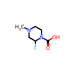 CN1CCN(C(=O)O)C(F)C1